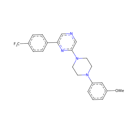 COc1cccc(N2CCN(c3cncc(-c4ccc(C(F)(F)F)cc4)n3)CC2)c1